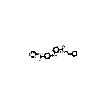 O=C(NCCC1CCCC1)c1cccc(Nc2ccc(C(=O)Nc3ccncn3)cc2)c1